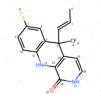 CC=CC1(C(F)(F)F)c2cc(F)ccc2Nc2c1cc[nH]c2=O